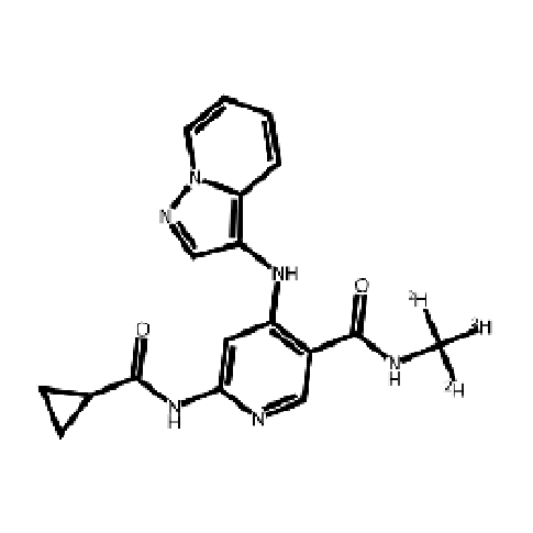 [2H]C([2H])([2H])NC(=O)c1cnc(NC(=O)C2CC2)cc1Nc1cnn2ccccc12